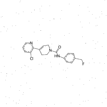 O=C(Nc1ccc(CF)cc1)N1CC=C(c2ncccc2Cl)CC1